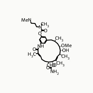 CNCCCN(C)C(=O)Oc1cc2cc(c1)NC(=O)/C(C)=C/CC[C@H](C=O)[C@@H](OC(N)=O)/C(C)=C/[C@H](C)[C@@H](O)[C@@H](OC)C[C@H](C)C2